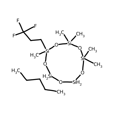 CCCCC.C[Si]1(C)O[SiH2]O[SiH2]O[Si](C)(CCC(F)(F)F)O[Si](C)(C)O1